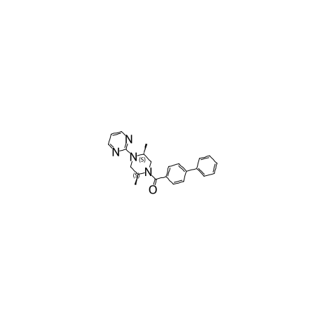 C[C@H]1CN(c2ncccn2)[C@@H](C)CN1C(=O)c1ccc(-c2ccccc2)cc1